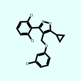 Clc1cc[c]c(OCc2c(-c3c(Cl)cccc3Cl)noc2C2CC2)c1